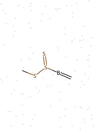 C=BS(=S)SC